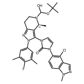 Cc1cc(-n2nc3c(c2-n2ccn(-c4ccc5c(cnn5C)c4Cl)c2=O)[C@H](C)N(C(O)OC(C)(C)C)CC3)cc(C)c1F